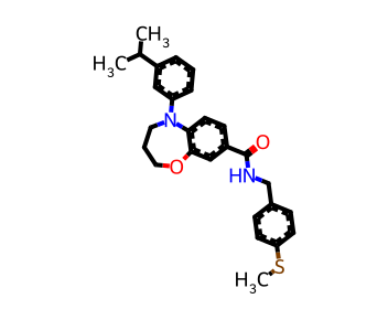 CSc1ccc(CNC(=O)c2ccc3c(c2)OCCCN3c2cccc(C(C)C)c2)cc1